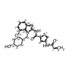 C=CC(=O)Nc1csc(C(=O)Nc2nc3cccc(Cl)c3n2C[C@H]2CC[C@H](O)CC2)c1